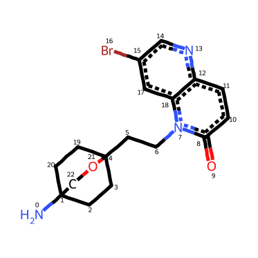 NC12CCC(CCn3c(=O)ccc4ncc(Br)cc43)(CC1)OC2